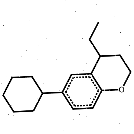 CCC1CCOc2ccc(C3CCCCC3)cc21